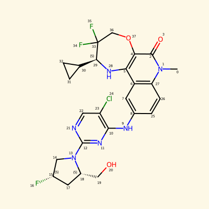 Cn1c(=O)c2c(c3cc(Nc4nc(N5C[C@@H](F)C[C@H]5CO)ncc4Cl)ccc31)N[C@@H](C1CC1)C(F)(F)CO2